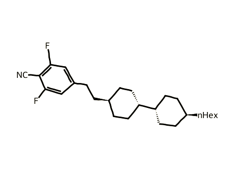 CCCCCC[C@H]1CC[C@H]([C@H]2CC[C@H](CCc3cc(F)c(C#N)c(F)c3)CC2)CC1